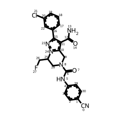 N#Cc1ccc(NC(=O)N2Cc3c(C(N)=O)c(-c4cccc(Cl)c4)nn3C(CF)C2)cc1